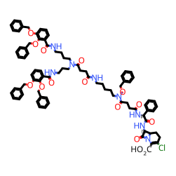 O=C(CCC(=O)N(CCCCNC(=O)c1cccc(OCc2ccccc2)c1OCc1ccccc1)CCCNC(=O)c1cccc(OCc2ccccc2)c1OCc1ccccc1)NCCCCCN(OCc1ccccc1)C(=O)CCC(=O)N[C@@H](C(=O)N[C@@H]1C(=O)N2C(C(=O)O)=C(Cl)CCC12)c1ccccc1